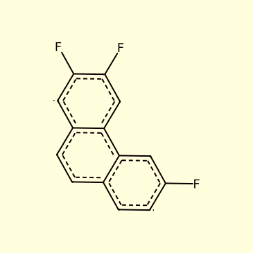 Fc1[c]cc2ccc3[c]c(F)c(F)cc3c2c1